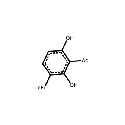 CCCc1ccc(O)c(C(C)=O)c1O